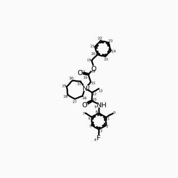 Cc1cc(F)cc(C)c1NC(=O)C(C)[N+]1(CC(=O)OCc2ccccc2)CCCCCC1